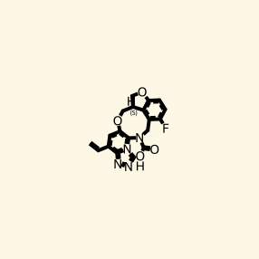 C=Cc1cc2c(n3cnnc13)N(C(=O)O)Cc1c(F)ccc3c1[C@@H](CO3)CO2